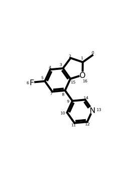 CC1Cc2cc(F)cc(-c3cccnc3)c2O1